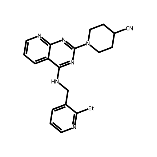 CCc1ncccc1CNc1nc(N2CCC(C#N)CC2)nc2ncccc12